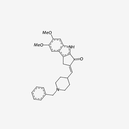 COc1cc2[nH]c3c(c2cc1OC)CC(=CC1CCN(Cc2ccccc2)CC1)C3=O